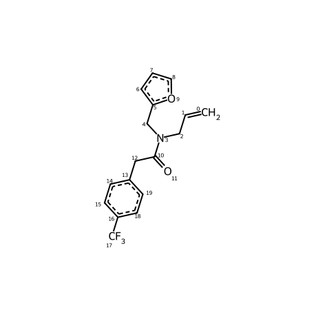 C=CCN(Cc1ccco1)C(=O)Cc1ccc(C(F)(F)F)cc1